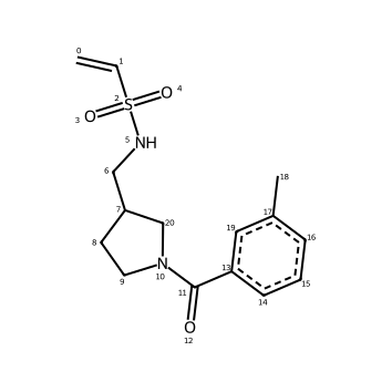 C=CS(=O)(=O)NCC1CCN(C(=O)c2cccc(C)c2)C1